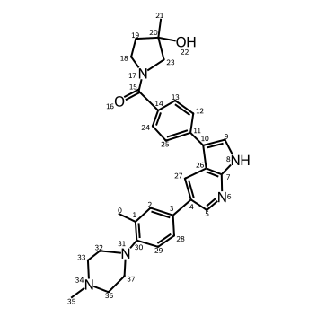 Cc1cc(-c2cnc3[nH]cc(-c4ccc(C(=O)N5CCC(C)(O)C5)cc4)c3c2)ccc1N1CCN(C)CC1